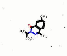 CCOC(=O)C(C)n1nc(C)c2ccc(OC)cc2c1=O